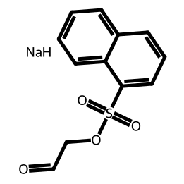 O=CCOS(=O)(=O)c1cccc2ccccc12.[NaH]